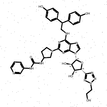 O=C(Nc1cccnc1)NC1CCN(c2nc(NCC(c3ccc(O)cc3)c3ccc(O)cc3)c3ncn([C@@H]4O[C@H](c5nnn(CCO)n5)[C@@H](O)[C@H]4O)c3n2)C1